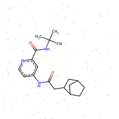 CC(C)(C#N)NC(=O)c1cc(NC(=O)CC2CC3CCC2C3)ccn1